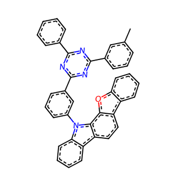 Cc1cccc(-c2nc(-c3ccccc3)nc(-c3cccc(-n4c5ccccc5c5ccc6c7ccccc7oc6c54)c3)n2)c1